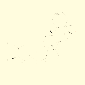 CC(C)[C@H](C)[C@@H](O)[C@H](O)[C@@H](C)[C@H]1CC[C@H]2[C@@H]3CC(=O)[C@H]4CC=CC[C@]4(C)[C@H]3CC[C@]12C